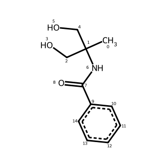 CC(CO)(CO)NC(=O)c1ccccc1